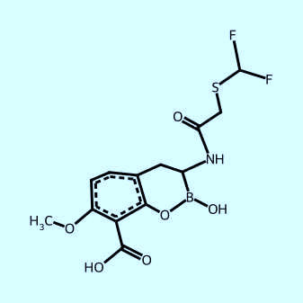 COc1ccc2c(c1C(=O)O)OB(O)C(NC(=O)CSC(F)F)C2